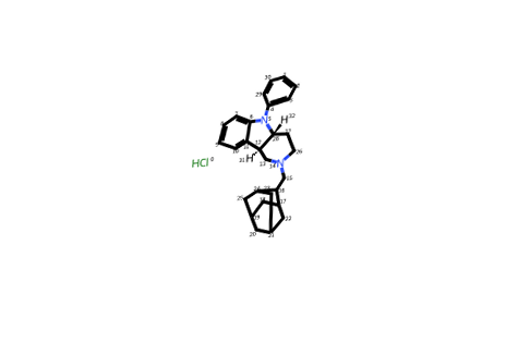 Cl.c1ccc(N2c3ccccc3[C@@H]3CN(CC4C5CC6CC(C5)CC4C6)CC[C@H]32)cc1